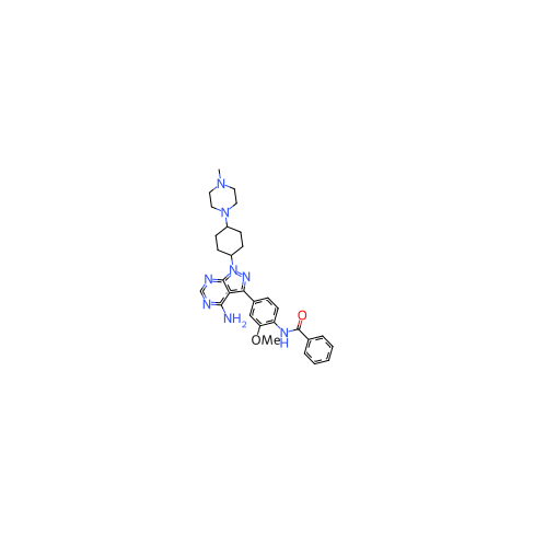 COc1cc(-c2nn(C3CCC(N4CCN(C)CC4)CC3)c3ncnc(N)c23)ccc1NC(=O)c1ccccc1